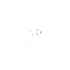 CC(=O)CON=C(C1=NCCN1C)c1c(C)c(C)c(C)c(C)c1C